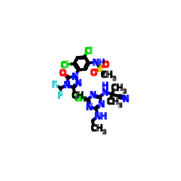 CCNc1nc(Cl)nc(NC(C)(C)C#N)n1.Cc1nn(-c2cc(NS(C)(=O)=O)c(Cl)cc2Cl)c(=O)n1C(F)F